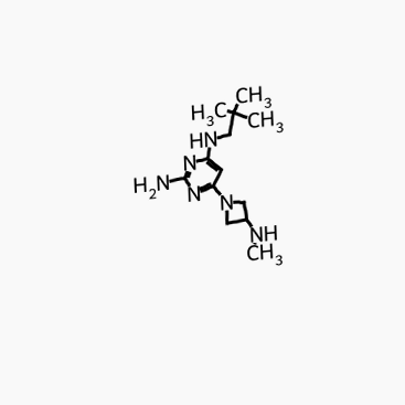 CNC1CN(c2cc(NCC(C)(C)C)nc(N)n2)C1